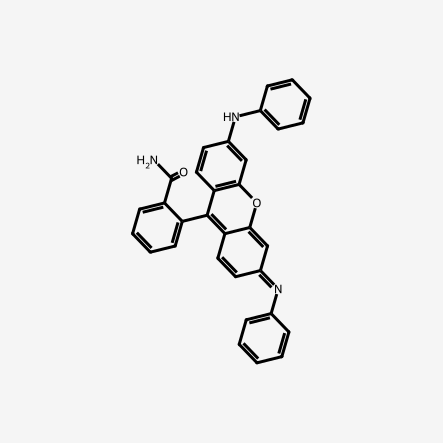 NC(=O)c1ccccc1-c1c2cc/c(=N\c3ccccc3)cc-2oc2cc(Nc3ccccc3)ccc12